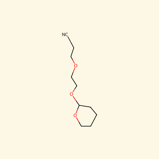 N#CCCOCCOC1CCCCO1